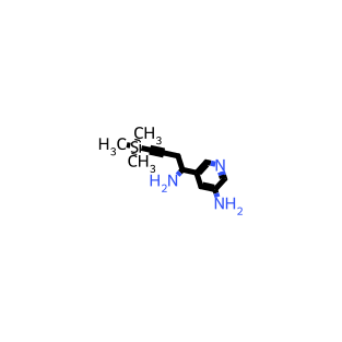 C[Si](C)(C)C#CCC(N)c1cncc(N)c1